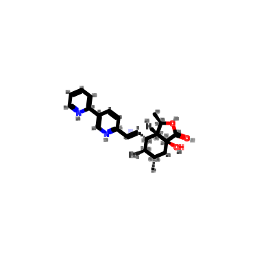 CC[C@H]1[C@H](/C=C/c2ccc(-c3ccccn3)cn2)[C@@H]2[C@@H](C)OC(=O)[C@]2(O)C[C@@H]1C